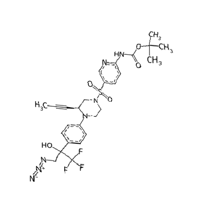 CC#C[C@H]1CN(S(=O)(=O)c2ccc(NC(=O)OC(C)(C)C)nc2)CCN1c1ccc(C(O)(CN=[N+]=[N-])C(F)(F)F)cc1